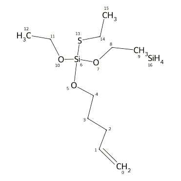 C=CCCCO[Si](OCC)(OCC)SCC.[SiH4]